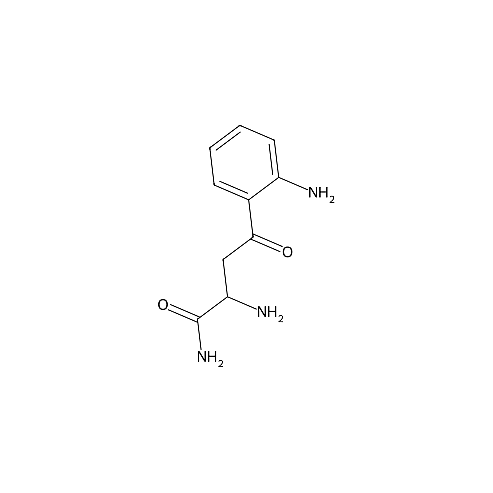 NC(=O)C(N)CC(=O)c1ccccc1N